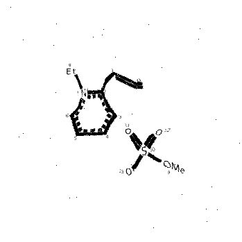 C=Cc1cccc[n+]1CC.COS(=O)(=O)[O-]